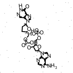 Nc1ncnc2c1ncn2[C@H]1CC(OP(=O)(O)OC[C@@H]2CC[C@H](n3cnc4c(=O)[nH]ncc43)O2)[C@@H](COP(=O)(O)O)O1